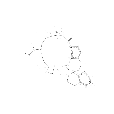 C[C@@H]1[C@@H](C)C[C@H](N(C)CC(=O)O)C[C@@H](O)[C@@H]2CC[C@H]2CN2C[C@@]3(CCCc4cc(Cl)ccc43)COc3ccc(cc32)C(=O)NS1(=O)=O